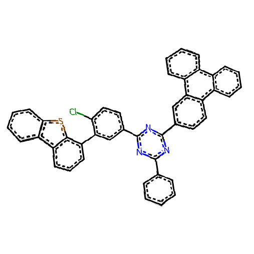 Clc1ccc(-c2nc(-c3ccccc3)nc(-c3ccc4c5ccccc5c5ccccc5c4c3)n2)cc1-c1cccc2c1sc1ccccc12